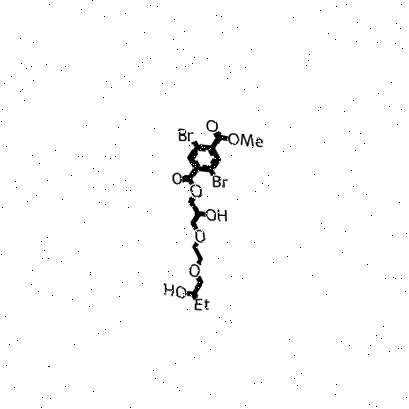 CCC(O)COCCOCC(O)COC(=O)c1cc(Br)c(C(=O)OC)cc1Br